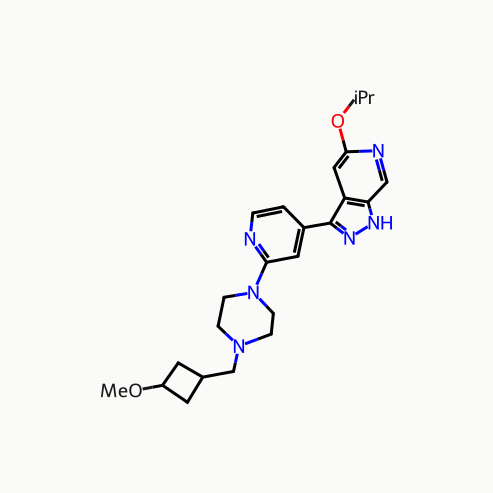 COC1CC(CN2CCN(c3cc(-c4n[nH]c5cnc(OC(C)C)cc45)ccn3)CC2)C1